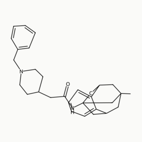 CC12CC3CC(NC(=O)CC4CCN(Cc5ccccc5)CC4)(CC(C1)c1ccccc13)C2